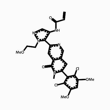 C=CC(=O)Nc1cnn(CCOC)c1-c1cc2c(=O)n(C)c(-c3c(Cl)c(OC)cc(OC)c3Cl)cc2cn1